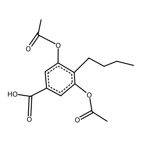 CCCCc1c(OC(C)=O)cc(C(=O)O)cc1OC(C)=O